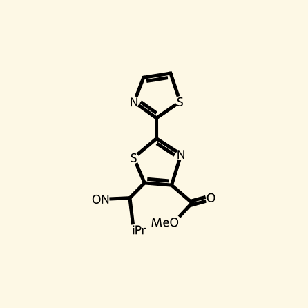 COC(=O)c1nc(-c2nccs2)sc1C(N=O)C(C)C